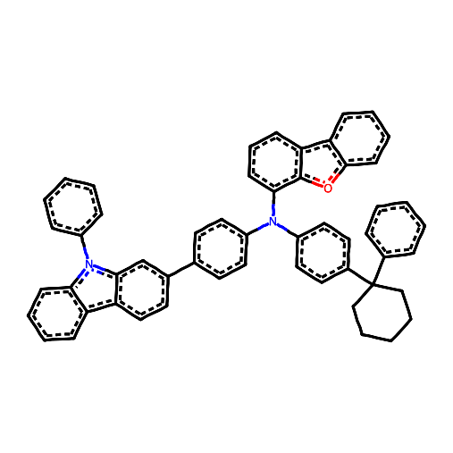 c1ccc(-n2c3ccccc3c3ccc(-c4ccc(N(c5ccc(C6(c7ccccc7)CCCCC6)cc5)c5cccc6c5oc5ccccc56)cc4)cc32)cc1